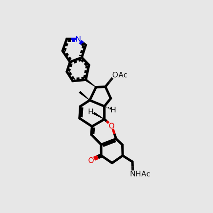 CC(=O)NCC1CC(=O)C2=C(C1)O[C@@H]1C(=C2)C=C[C@]2(C)[C@@H](c3ccc4ccncc4c3)C(OC(C)=O)C[C@@H]12